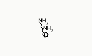 NCCCC(N)Cc1ccccn1